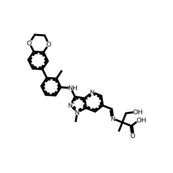 Cc1c(Nc2nn(C)c3cc(C=NC(C)(CO)C(=O)O)cnc23)cccc1-c1ccc2c(c1)OCCO2